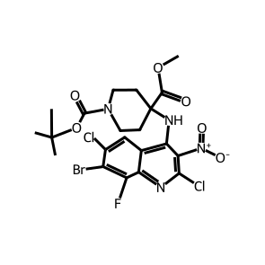 COC(=O)C1(Nc2c([N+](=O)[O-])c(Cl)nc3c(F)c(Br)c(Cl)cc23)CCN(C(=O)OC(C)(C)C)CC1